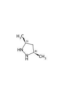 C[C@@H]1C[C@H](C)NN1